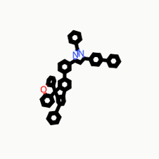 C1=C(c2cccc(-c3ccc4c(c3)C3(c5ccccc5Oc5ccccc53)c3cc(-c5ccccc5)ccc3-4)c2)N2C(c3ccccc3)N2C1c1ccc(-c2ccccc2)cc1